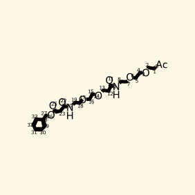 CC(=O)CCOCCOCCNC(=O)CCOCCOCCNC(=O)CC(=O)OCc1ccccc1